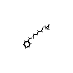 c1ccc(COCCCCC[C@@H]2CO2)cc1